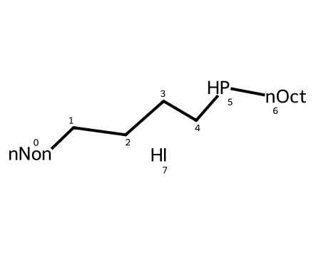 CCCCCCCCCCCCCPCCCCCCCC.I